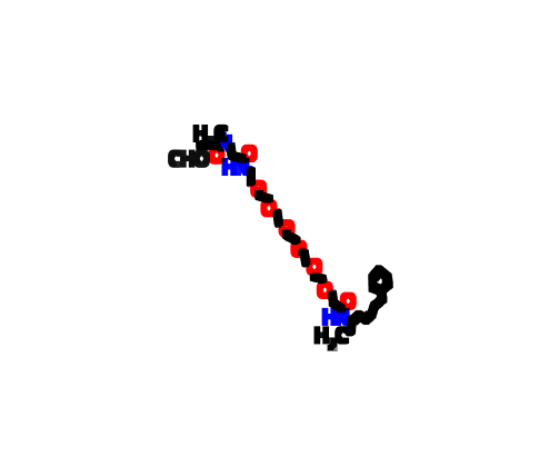 C=C/C(=C\C=C/CCc1ccccc1)NC(=O)CCOCCOCCOCCOCCOCCOCCNC(=O)CCN(C)C(=O)/C=C\C=O